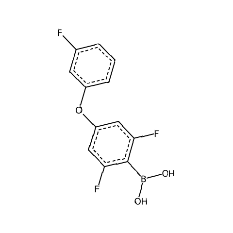 OB(O)c1c(F)cc(Oc2cccc(F)c2)cc1F